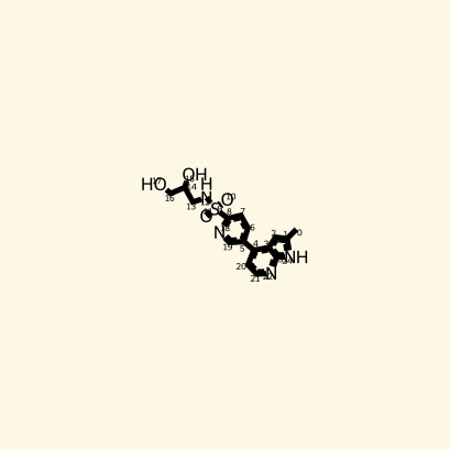 Cc1cc2c(-c3ccc(S(=O)(=O)NCC(O)CO)nc3)ccnc2[nH]1